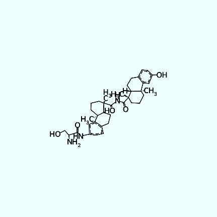 C[C@]1(C(=O)NC(=O)[C@@]2(C)CCC[C@]3(C)c4cc(NC(=O)C(N)CO)ccc4CC[C@@H]23)CCC[C@]2(C)c3cc(O)ccc3CC[C@@H]12